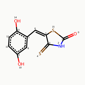 O=C1NC(=S)/C(=C\c2cc(O)ccc2O)S1